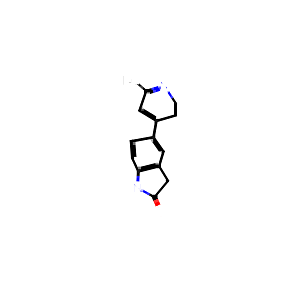 CC(C)(C)C1=NCCC(c2ccc3c(c2)CC(=O)N3)=C1